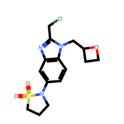 O=S1(=O)CCCN1c1ccc2c(c1)nc(CCl)n2CC1CCO1